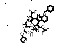 Cn1cc(-c2c3cccn(Cc4ccccc4)c-3nc2-c2c(C(F)F)nn3c2OC[C@@H](NC(=O)OC2CCOC2)C3)c(OC(F)F)n1